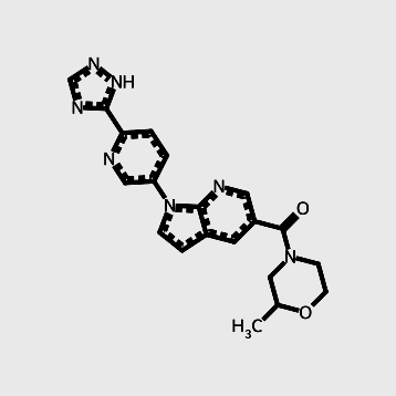 CC1CN(C(=O)c2cnc3c(ccn3-c3ccc(-c4ncn[nH]4)nc3)c2)CCO1